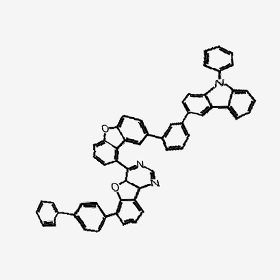 C1=NC2c3cccc(-c4ccc(-c5ccccc5)cc4)c3OC2C(c2cccc3oc4ccc(-c5cccc(-c6ccc7c(c6)c6ccccc6n7-c6ccccc6)c5)cc4c23)=N1